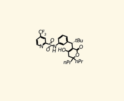 CCCC1(CCC)CC(O)=C([C@H](c2cccc(NS(=O)(=O)c3cc(C(F)(F)F)ccn3)c2)C(C)(C)C)C(=O)O1